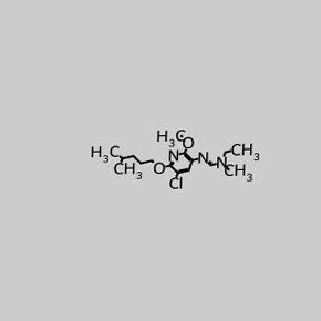 CCN(C)/C=N/c1cc(Cl)c(OCCCC(C)C)nc1OC